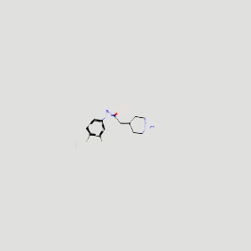 CCN(C(=O)CC1CCN(C)CC1)c1ccc(Br)c(Br)c1